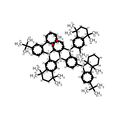 Cc1cc2c3c(c1)N(c1ccc(C(C)(C)C)cc1-c1ccccc1)c1cc4c(cc1B3c1ccc(N3c5ccc(C(C)(C)C)cc5C5(C)CCCCC35C)cc1N2c1cc2c(cc1C)C(C)(C)CCC2(C)C)C(C)(C)CCC4(C)C